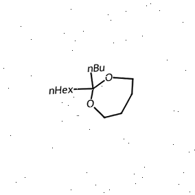 CCCCCCC1(CCCC)OCCCCO1